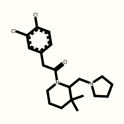 CC1(C)CCCN(C(=O)Cc2ccc(Cl)c(Cl)c2)C1CN1CCCC1